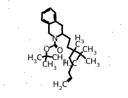 C=CCCCC(C)(CCC1Cc2ccccc2CN1C(=O)OC(C)(C)C)C(C)(C)C